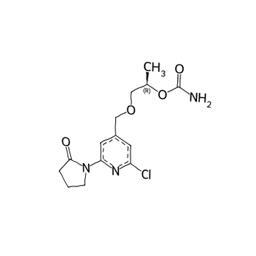 C[C@H](COCc1cc(Cl)nc(N2CCCC2=O)c1)OC(N)=O